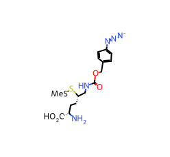 CSS[C@@H](CC[C@H](N)C(=O)O)CNC(=O)OCc1ccc(N=[N+]=[N-])cc1